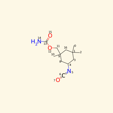 CC1(C)CC(N=C=O)CC(C)(COC(N)=O)C1